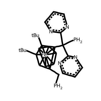 CC(C)(C)[C]12[CH]3[C]4(CP)[C]5(C(P)(c6ncccn6)c6ncccn6)[C]1(C(C)(C)C)[Fe]34251678[CH]2[CH]1[CH]6[CH]7[CH]28